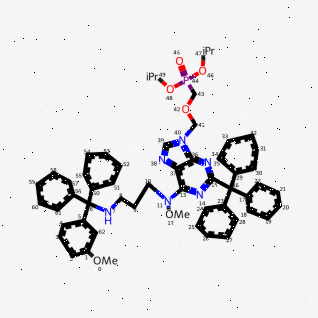 COc1cccc(C(NCCCN(OC)c2nc(C(c3ccccc3)(c3ccccc3)c3ccccc3)nc3c2ncn3COCP(=O)(OC(C)C)OC(C)C)(c2ccccc2)c2ccccc2)c1